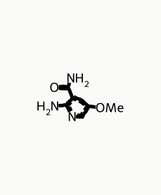 COc1cnc(N)c(C(N)=O)c1